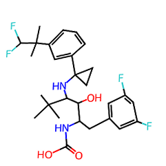 CC(C)(C)C(NC1(c2cccc(C(C)(C)C(F)F)c2)CC1)C(O)C(Cc1cc(F)cc(F)c1)NC(=O)O